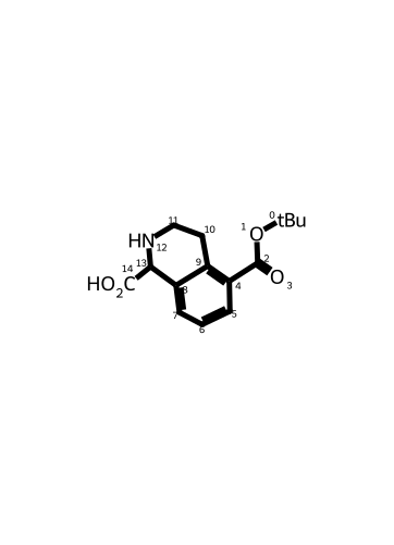 CC(C)(C)OC(=O)c1cccc2c1CCNC2C(=O)O